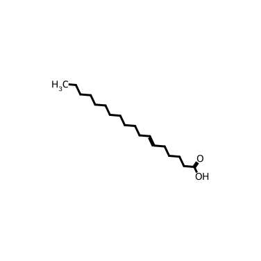 CCCCCCCCCCCC=CCCCCC(=O)O